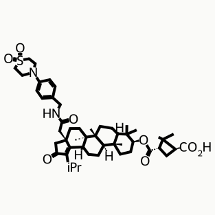 CC(C)C1=C2[C@H]3CC[C@@H]4[C@@]5(C)CC[C@H](OC(=O)[C@H]6C[C@@H](C(=O)O)C6(C)C)C(C)(C)[C@@H]5CC[C@@]4(C)[C@]3(C)CC[C@@]2(CC(=O)NCc2ccc(N3CCS(=O)(=O)CC3)cc2)CC1=O